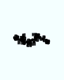 CN(C[C@H]1O[C@@H](n2cnc3c(N[C@H]4CCOC4)nc(Cl)nc32)[C@H](O)[C@@H]1O)C(=O)CP(=O)(O)OCOC(=O)OCC(C)(C)C